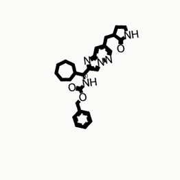 O=C(N[C@H](c1cn2ncc(CC3CCNC3=O)cc2n1)C1CCCCCC1)OCc1ccccc1